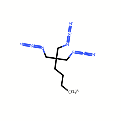 [N-]=[N+]=NCC(CCCC(=O)O)(CN=[N+]=[N-])CN=[N+]=[N-]